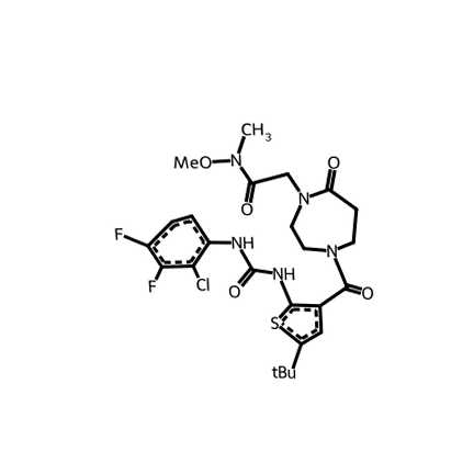 CON(C)C(=O)CN1CCN(C(=O)c2cc(C(C)(C)C)sc2NC(=O)Nc2ccc(F)c(F)c2Cl)CCC1=O